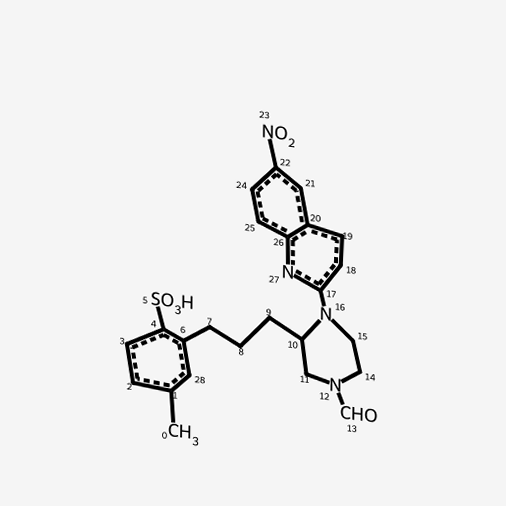 Cc1ccc(S(=O)(=O)O)c(CCCC2CN(C=O)CCN2c2ccc3cc([N+](=O)[O-])ccc3n2)c1